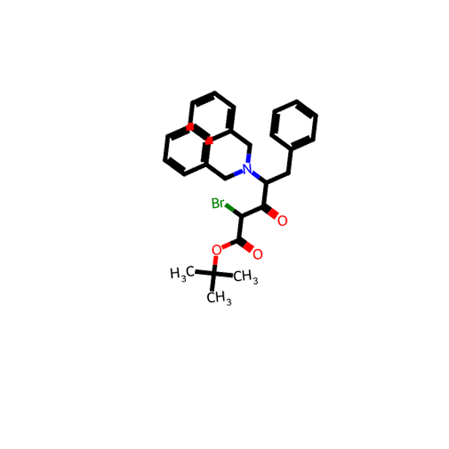 CC(C)(C)OC(=O)C(Br)C(=O)C(Cc1ccccc1)N(Cc1ccccc1)Cc1ccccc1